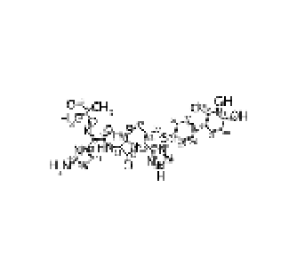 CC(C)(C=O)O/N=C(\C(=O)N[C@@H]1C(=O)N2C(c3nn[nH]n3)=C(CSc3cc[n+](-c4ccc(O)c(O)c4Cl)cc3)CS[C@H]12)c1csc(N)n1